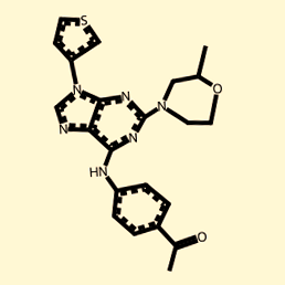 CC(=O)c1ccc(Nc2nc(N3CCOC(C)C3)nc3c2ncn3-c2ccsc2)cc1